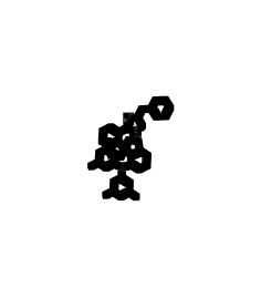 Cc1cc(C)cc(P(c2cc(C)cc(C)c2)c2cccc3c2C2(CCc4cccc(C5=NC(Cc6ccccc6)CO5)c42)CC3)c1